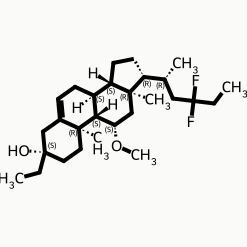 CCC(F)(F)C[C@@H](C)[C@H]1CC[C@H]2[C@@H]3CC=C4C[C@](O)(CC)CC[C@]4(C)[C@H]3[C@@H](OC)C[C@]12C